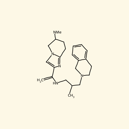 C=C(NCC(C)CN1CCc2ccccc2C1)c1cn2c(n1)CCC(NC)C2